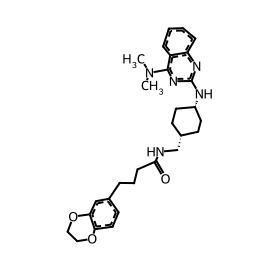 CN(C)c1nc(N[C@H]2CC[C@@H](CNC(=O)CCCc3ccc4c(c3)OCCO4)CC2)nc2ccccc12